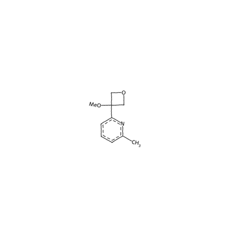 COC1(c2cccc(C)n2)COC1